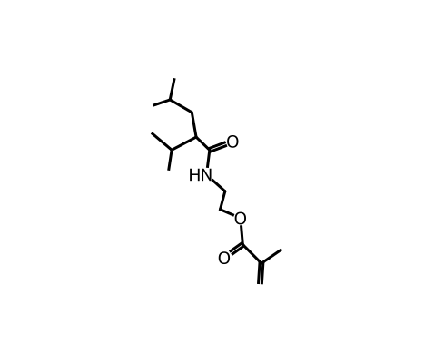 C=C(C)C(=O)OCCNC(=O)C(CC(C)C)C(C)C